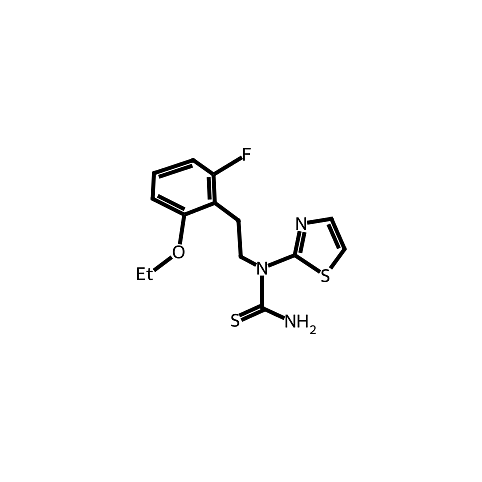 CCOc1cccc(F)c1CCN(C(N)=S)c1nccs1